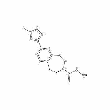 Cc1cc(-c2ccc3c(c2)CCN(C(=O)OC(C)(C)C)CC3)no1